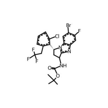 CC(C)(C)OC(=O)NC1C[C@H](c2c(Cl)cccc2CC(F)(F)F)n2c1nc1cc(F)c(Br)cc12